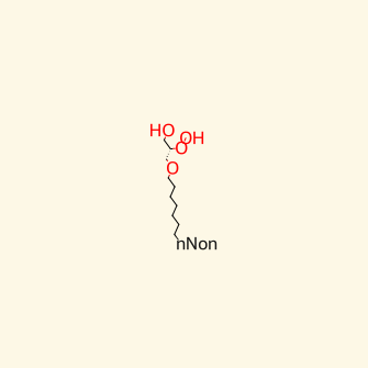 CCCCCCCCCCCCCCCCOC[C@H](CO)OO